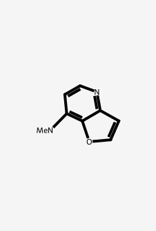 CNc1ccnc2ccoc12